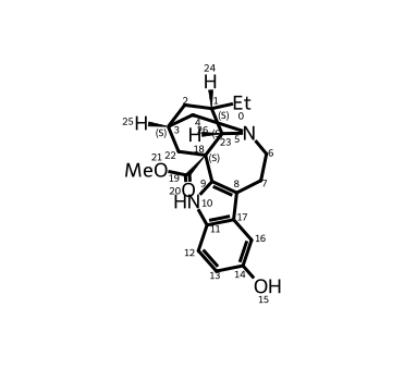 CC[C@H]1C[C@@H]2CN3CCc4c([nH]c5ccc(O)cc45)[C@](C(=O)OC)(C2)[C@H]13